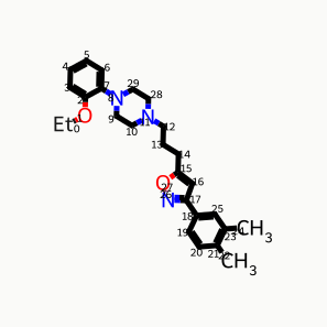 CCOc1ccccc1N1CCN(CCCc2cc(-c3ccc(C)c(C)c3)no2)CC1